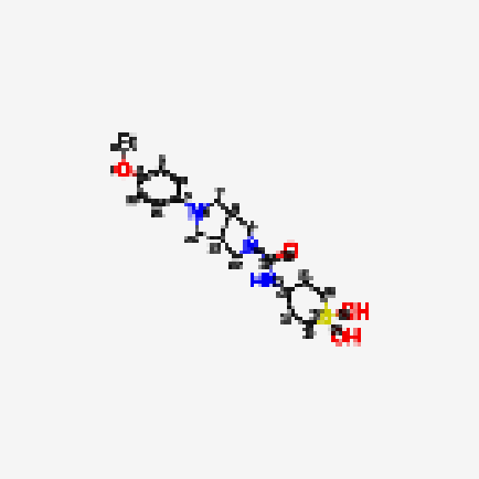 CCOc1ccc(N2CC3CN(C(=O)NC4CCS(O)(O)CC4)CC3C2)cc1